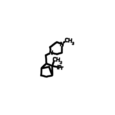 CC(C)C1(C)C2CCC(C2)C1CN1CCN(C)CC1